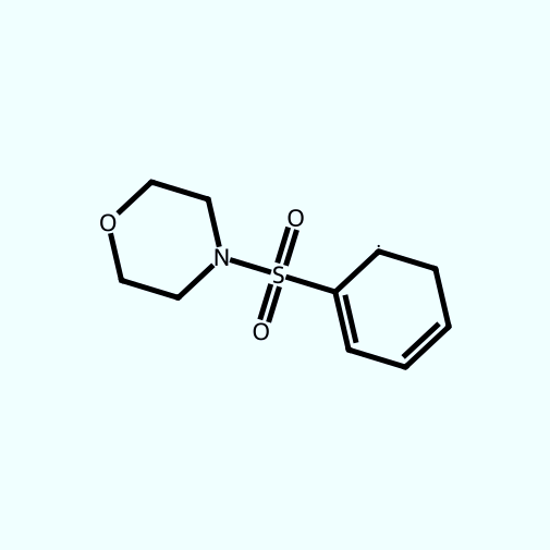 O=S(=O)(C1=CC=CC[CH]1)N1CCOCC1